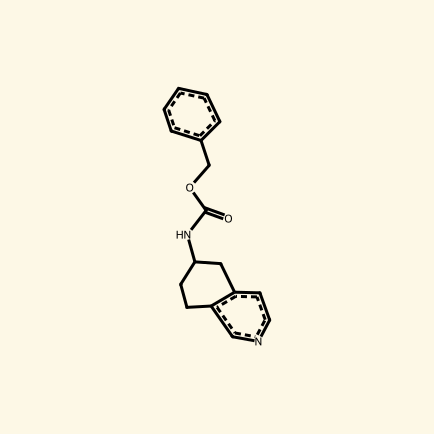 O=C(NC1CCc2cnccc2C1)OCc1ccccc1